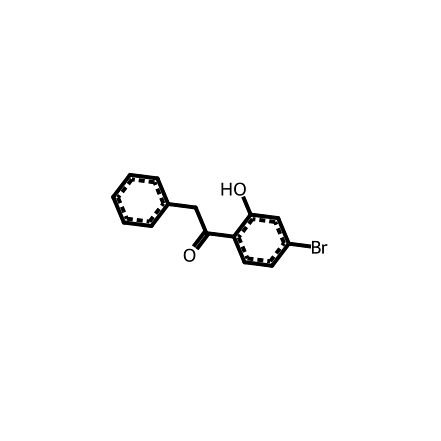 O=C(Cc1ccccc1)c1ccc(Br)cc1O